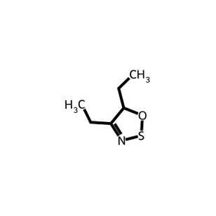 CCC1=NSOC1CC